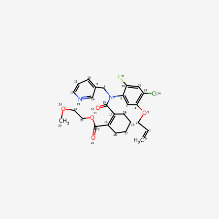 C=CCOc1cc(N(Cc2cccnc2)C(=O)C2=C(C(=O)OCCOC)CCCC2)c(F)cc1Cl